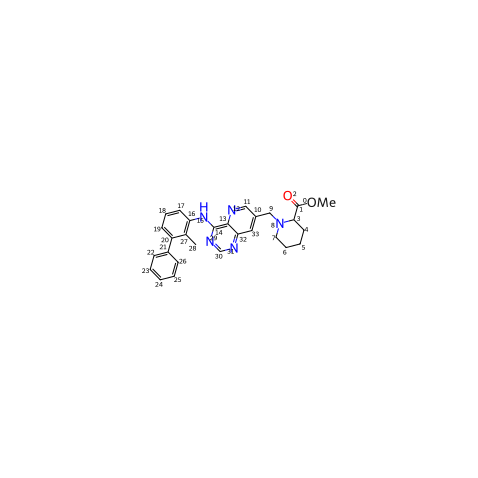 COC(=O)C1CCCCN1Cc1cnc2c(Nc3cccc(-c4ccccc4)c3C)ncnc2c1